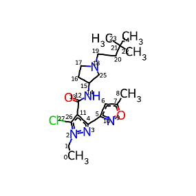 CCn1nc(-c2cc(C)on2)c(C(=O)NC2CCN(CCC(C)(C)C)C2)c1Cl